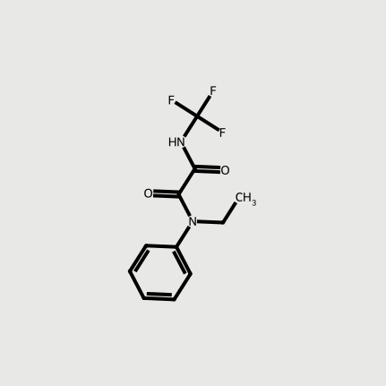 CCN(C(=O)C(=O)NC(F)(F)F)c1ccccc1